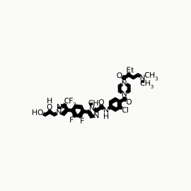 CCC(CCN(C)C)C(=O)N1CCN(C(=O)c2ccc(NC(=O)c3ncc(-c4ccc(-c5cn(CC(O)CO)nc5C(F)(F)F)c(F)c4F)n3C)cc2Cl)CC1